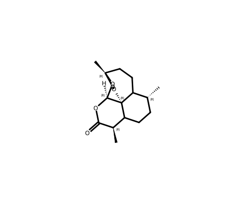 C[C@@H]1CCC2[C@@H](C)C(=O)O[C@H]3O[C@@]4(C)CCC1[C@@]23OO4